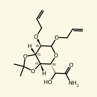 C=CCOC1O[C@H](C(O)C(N)=O)[C@@H]2OC(C)(C)O[C@@H]2[C@H]1OCC=C